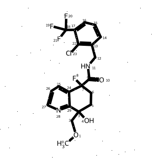 COCC1(O)CCC(F)(C(=O)NCc2cccc(C(F)(F)F)c2Cl)c2cccnc21